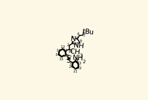 CC(CC1=NC(CCC(C)(C)C)CN1)c1ccccc1SSc1ccccc1N